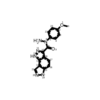 COc1ccc(N(N)C(=O)c2n[nH]c3c4c(ccc23)[N]N=C4)cc1